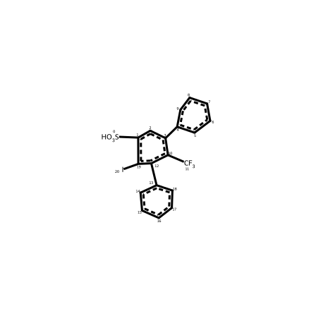 O=S(=O)(O)c1cc(-c2ccccc2)c(C(F)(F)F)c(-c2ccccc2)c1I